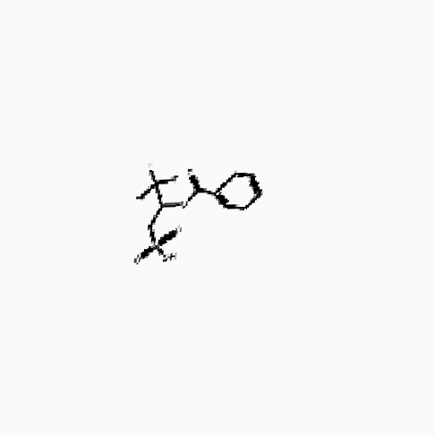 O=C(OC(CS(=O)(=O)O)C(F)(F)F)C1=CCC=CC1